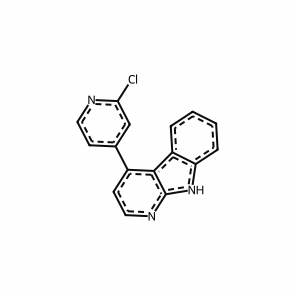 Clc1cc(-c2ccnc3[nH]c4ccccc4c23)ccn1